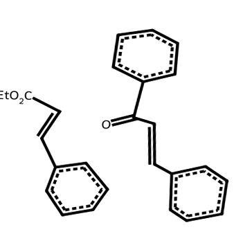 CCOC(=O)C=Cc1ccccc1.O=C(C=Cc1ccccc1)c1ccccc1